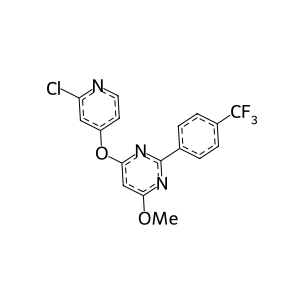 COc1cc(Oc2ccnc(Cl)c2)nc(-c2ccc(C(F)(F)F)cc2)n1